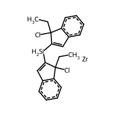 CCC1(Cl)C([SiH2]C2=Cc3ccccc3C2(Cl)CC)=Cc2ccccc21.[Zr]